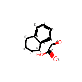 O=CC(=O)O.c1ccc2c(c1)CCCC2